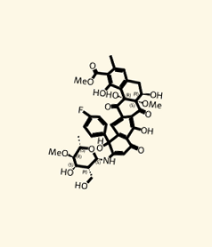 COC(=O)c1c(C)cc2c(c1O)[C@]1(O)C(=O)c3cc4c(c(O)c3C(=O)[C@]1(OC)[C@H](O)C2)C(=O)C=C(N[C@H]1O[C@@H](C)[C@H](OC)[C@@H](O)[C@H]1CO)C4(O)c1ccc(F)cc1